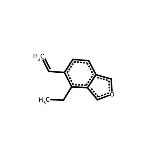 C=Cc1ccc2cocc2c1CC